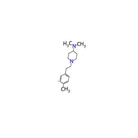 Cc1[c]cc(CCN2CCC(N(C)C)CC2)cc1